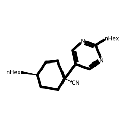 CCCCCCc1ncc([C@]2(C#N)CC[C@H](CCCCCC)CC2)cn1